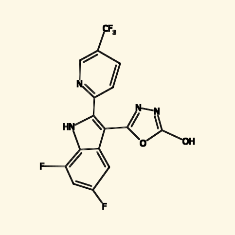 Oc1nnc(-c2c(-c3ccc(C(F)(F)F)cn3)[nH]c3c(F)cc(F)cc23)o1